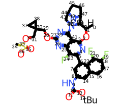 CC1Oc2nc(-c3cc(NC(=O)OC(C)(C)C)cc4ccc(F)c(F)c34)c(F)c3nc(OCC4(COS(C)(=O)=O)CC4)nc(c23)N2CC3CCC(C12)N3C(=O)O